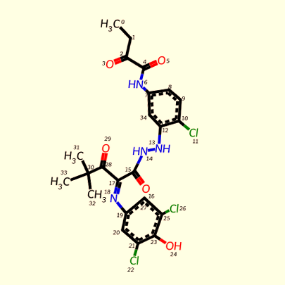 CCC(=O)C(=O)Nc1ccc(Cl)c(NNC(=O)/C(=N\c2cc(Cl)c(O)c(Cl)c2)C(=O)C(C)(C)C)c1